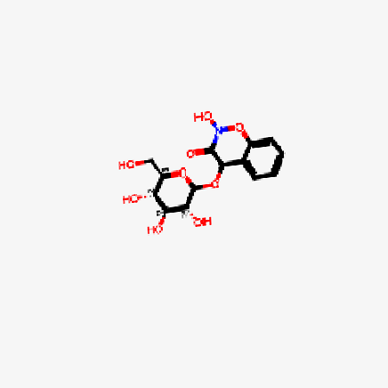 O=C1C(OC2O[C@H](CO)[C@@H](O)[C@H](O)[C@H]2O)c2ccccc2ON1O